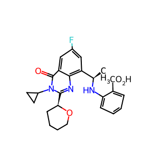 C[C@@H](Nc1ccccc1C(=O)O)c1cc(F)cc2c(=O)n(C3CC3)c([C@@H]3CCCCO3)nc12